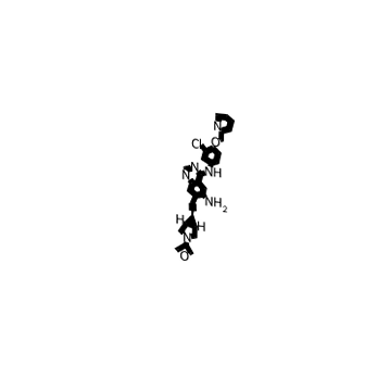 Nc1cc2c(Nc3ccc(OCc4ccccn4)c(Cl)c3)ncnc2cc1C#C[C@H]1[C@H]2CN(C3COC3)C[C@@H]12